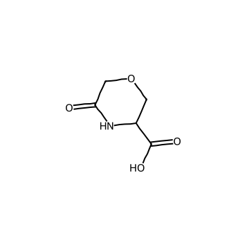 O=C1COCC(C(=O)O)N1